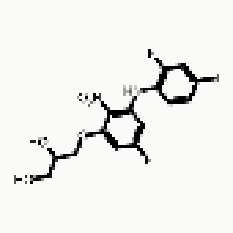 O=[N+]([O-])c1c(Nc2ccc(I)cc2F)cc(F)cc1OCC(O)CO